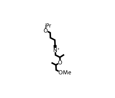 COCC(C)OC(C)C[N+]#CCCCOC(C)C